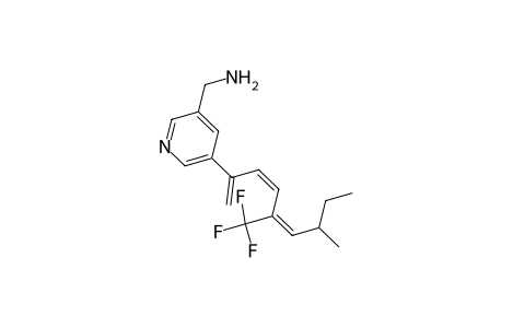 C=C(/C=C\C(=C/C(C)CC)C(F)(F)F)c1cncc(CN)c1